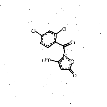 CCCc1cc(=O)on1C(=O)c1ccc(Cl)cc1Cl